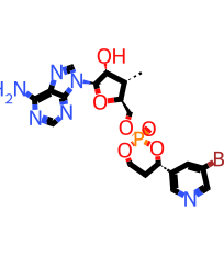 C[C@H]1[C@@H](O)[C@H](n2cnc3c(N)ncnc32)O[C@@H]1COP1(=O)OCC[C@@H](c2cncc(Br)c2)O1